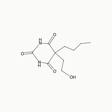 CCCCC1(CCO)C(=O)NC(=O)NC1=O